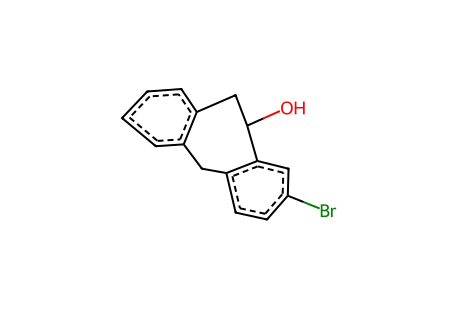 OC1Cc2ccccc2Cc2ccc(Br)cc21